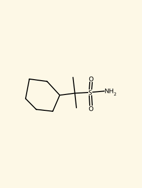 CC(C)(C1CCCCC1)S(N)(=O)=O